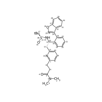 CN(C)C(=O)CCc1cccc(C[C@H](N[S@@+]([O-])C(C)(C)C)c2ccccc2-c2noc3ccccc23)n1